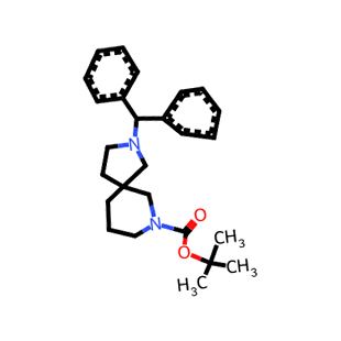 CC(C)(C)OC(=O)N1CCCC2(CCN(C(c3ccccc3)c3ccccc3)C2)C1